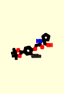 COc1cc(B2OC(C)(C)C(C)(C)O2)ccc1OCC(=O)NC1(CO)CCCC1